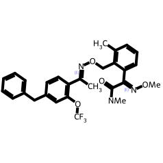 CNC(=O)/C(=N/OC)c1cccc(C)c1CO/N=C(\C)c1ccc(Cc2ccccc2)cc1OC(F)(F)F